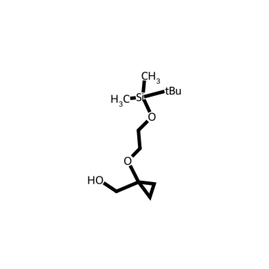 CC(C)(C)[Si](C)(C)OCCOC1(CO)CC1